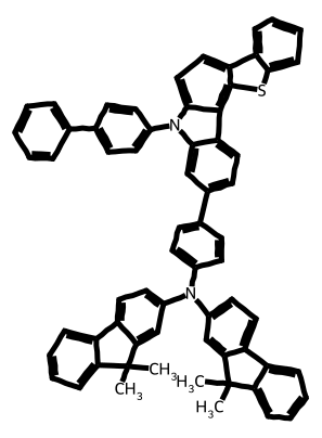 CC1(C)c2ccccc2-c2ccc(N(c3ccc(-c4ccc5c6c7sc8ccccc8c7ccc6n(-c6ccc(-c7ccccc7)cc6)c5c4)cc3)c3ccc4c(c3)C(C)(C)c3ccccc3-4)cc21